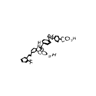 CC(=O)N(c1ccc(C(=O)O)cc1)c1ccc(C(=O)Nc2ccc(/C=C/c3ccccc3F)cc2C(=O)O)cc1